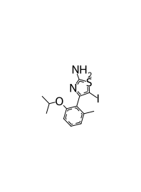 Cc1cccc(OC(C)C)c1-c1nc(N)sc1I